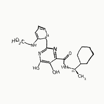 C[C@@H](NC(=O)c1nc(-c2ncccc2NC(=O)O)nc(O)c1O)C1CCCCC1